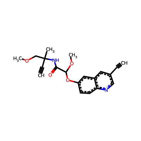 C#Cc1cnc2ccc(OC(OC)C(=O)NC(C)(C#C)COC)cc2c1